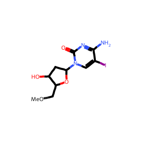 COCC1OC(n2cc(I)c(N)nc2=O)CC1O